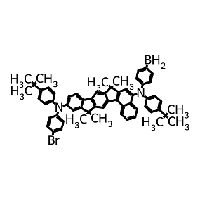 Bc1ccc(N(c2ccc(C(C)(C)C)cc2)c2cc3c(c4ccccc24)-c2cc4c(cc2C3(C)C)-c2ccc(N(c3ccc(Br)cc3)c3ccc(C(C)(C)C)cc3)cc2C4(C)C)cc1